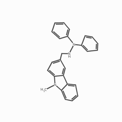 Cn1c2ccccc2c2cc(CNN(c3ccccc3)c3ccccc3)ccc21